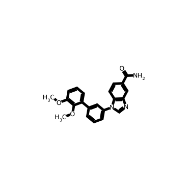 COc1cccc(-c2cccc(-n3cnc4cc(C(N)=O)ccc43)c2)c1OC